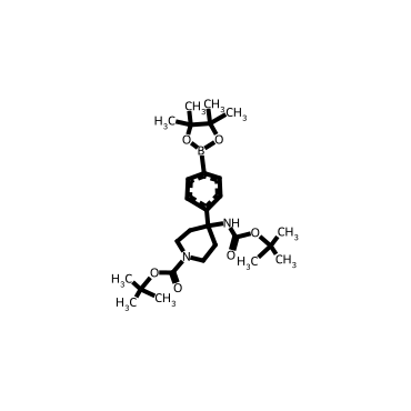 CC(C)(C)OC(=O)NC1(c2ccc(B3OC(C)(C)C(C)(C)O3)cc2)CCN(C(=O)OC(C)(C)C)CC1